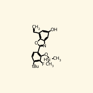 C=Cc1cc(O)cc2nc(-c3ccc(C(C)(C)C)c(F)c3O[SiH](C)C)oc12